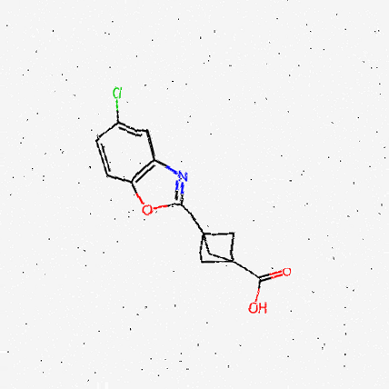 O=C(O)C12CC(c3nc4cc(Cl)ccc4o3)(C1)C2